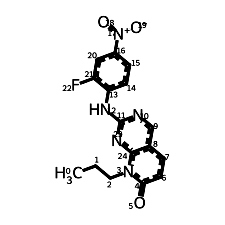 CCCn1c(=O)ccc2cnc(Nc3ccc([N+](=O)[O-])cc3F)nc21